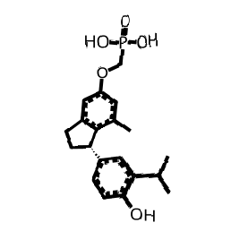 Cc1cc(OCP(=O)(O)O)cc2c1[C@H](c1ccc(O)c(C(C)C)c1)CC2